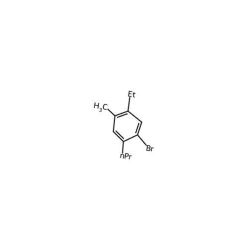 CCCc1cc(C)c(CC)cc1Br